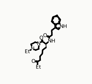 CCC(=O)CCCCC[C@H](NC(=O)CCc1c[nH]c2ccccc12)C(=O)N1CCN(CC)CC1